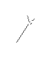 CCCCCCCCCCCCCCCCCCN1C=CN(CCCC)C1CCCCCC